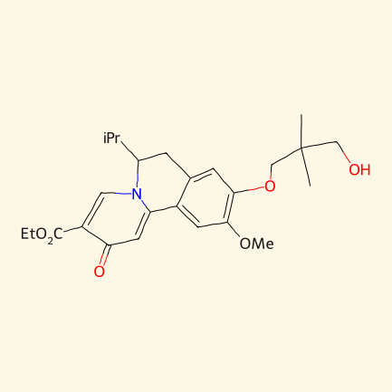 CCOC(=O)c1cn2c(cc1=O)-c1cc(OC)c(OCC(C)(C)CO)cc1CC2C(C)C